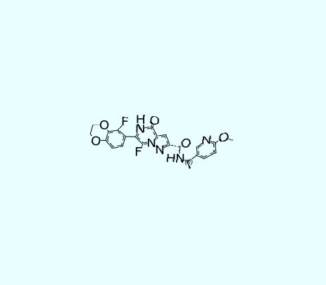 COc1ccc([C@@H](C)NC(=O)c2cc3c(=O)[nH]c(-c4ccc5c(c4F)OCCO5)c(F)n3n2)cn1